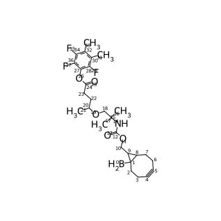 BC12CCC#CCCC1C2COC(=O)NC(C)(C)COC(C)CCC(=O)Oc1c(F)c(C)c(C)c(F)c1F